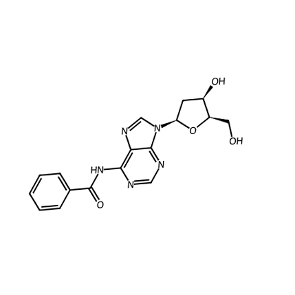 O=C(Nc1ncnc2c1ncn2[C@H]1C[C@@H](O)[C@@H](CO)O1)c1ccccc1